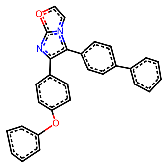 c1ccc(Oc2ccc(-c3nc4occn4c3-c3ccc(-c4ccccc4)cc3)cc2)cc1